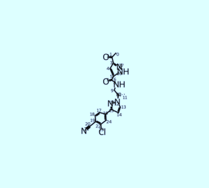 CC(=O)c1cc(C(=O)NC[C@H](C)n2ccc(-c3ccc(C#N)c(Cl)c3)n2)[nH]n1